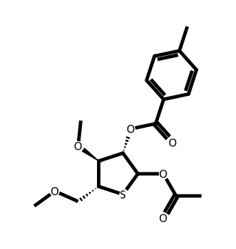 COC[C@H]1SC(OC(C)=O)[C@@H](OC(=O)c2ccc(C)cc2)[C@@H]1OC